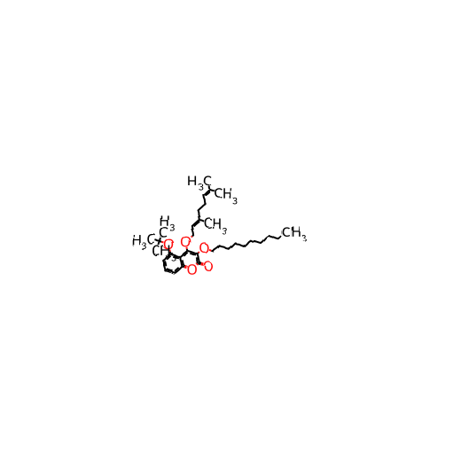 CCCCCCCCCCOc1c(OC/C=C(\C)CCC=C(C)C)c2c(OC(C)(C)C)cccc2oc1=O